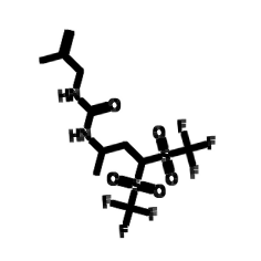 C=C(C)CNC(=O)NC(C)CC(S(=O)(=O)C(F)(F)F)S(=O)(=O)C(F)(F)F